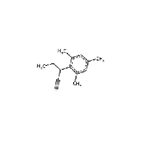 [C]#CC(CC)c1c(C)cc(C)cc1C